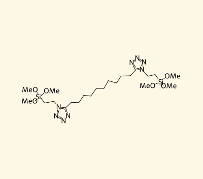 CO[Si](CCn1nnnc1CCCCCCCCCCc1nnnn1CC[Si](OC)(OC)OC)(OC)OC